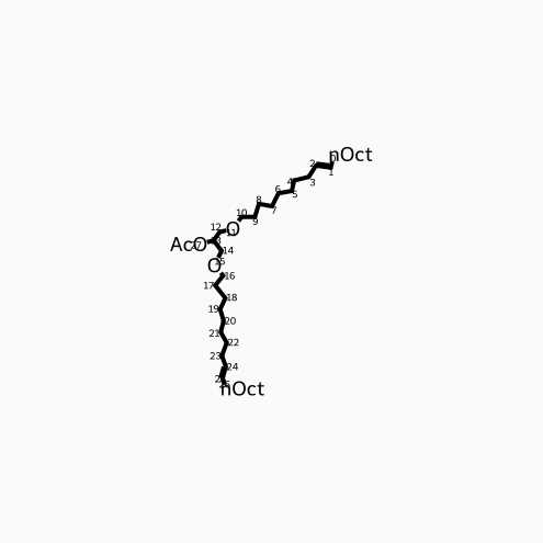 CCCCCCCCC=CCCCCCCCCOCC(COCCCCCCCCC=CCCCCCCCC)OC(C)=O